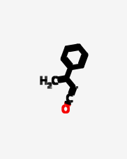 C=C([C]=C=O)c1ccccc1